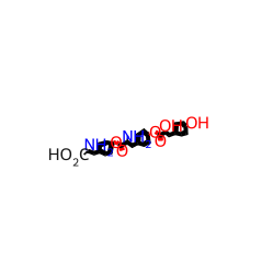 N[C@@H](Cc1ccc(OC(=O)[C@@H](N)Cc2ccc(OC(=O)C(O)Cc3ccc(O)cc3)cc2)cc1)C(=O)O